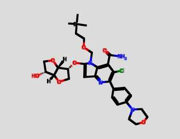 C[Si](C)(C)CCOCn1c(O[C@@H]2CO[C@H]3[C@@H]2OC[C@H]3O)cc2nc(-c3ccc(N4CCOCC4)cc3)c(Cl)c(C(N)=O)c21